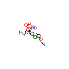 CO[C@]1(c2ccc(Cl)c(Cc3ccc(OCC#N)cc3)c2)C[C@@H](N=O)C[C@@H](CO)O1